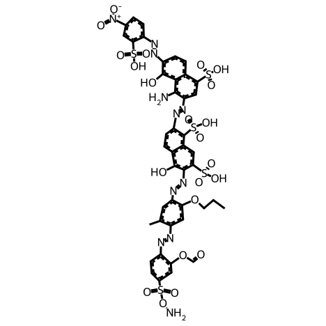 CCCOc1cc(N=Nc2ccc(S(=O)(=O)ON)cc2OC=O)c(C)cc1N=Nc1c(S(=O)(=O)O)cc2c(S(=O)(=O)O)c(N=Nc3cc(S(=O)(=O)O)c4ccc(N=Nc5ccc([N+](=O)[O-])cc5S(=O)(=O)O)c(O)c4c3N)ccc2c1O